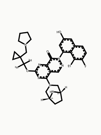 [2H]C([2H])(Oc1nc(N2C[C@H]3CC[C@@H](C2)N3)c2cnn(-c3cc(O)cc4ccc(F)c(CC)c34)c(=O)c2n1)C1(CN2CCCC2)CC1